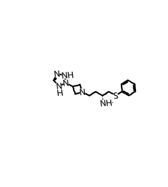 [NH][C@H](CCN1CC(N2NC=NN2)C1)CSc1ccccc1